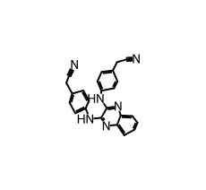 N#CCc1ccc(Nc2nc3ccccc3nc2Nc2ccc(CC#N)cc2)cc1